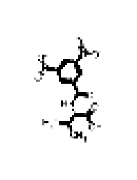 CC(C)[C@H](NC(=O)c1cc([N+](=O)[O-])cc([N+](=O)[O-])c1)C(=O)O